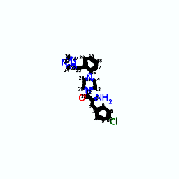 NC(Cc1ccc(Cl)cc1)C(=O)N1CCN(c2ccccc2Cn2cncn2)CC1